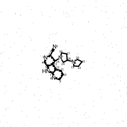 N#Cc1ncc2[nH]c3ncccc3c2c1N1CCC(N2CCCC2)C1